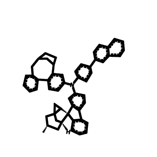 C[C@H]1C[C@H]2CC3(CC3[C@]23c2ccccc2-c2ccc(N(c4ccc(-c5ccc6ccccc6c5)cc4)c4ccc5c(c4)C4CCC(Cc6ccccc6-5)C4)cc23)C1